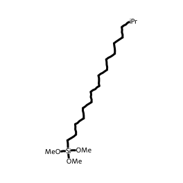 CO[Si](CCCCCCCCCCCCCCCC(C)C)(OC)OC